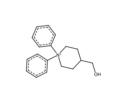 OCC1CC[N+](c2ccccc2)(c2ccccc2)CC1